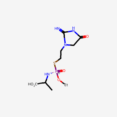 CCO[P@@](=O)(NC(C)C(=O)O)SCCN1CC(=O)NC1=N